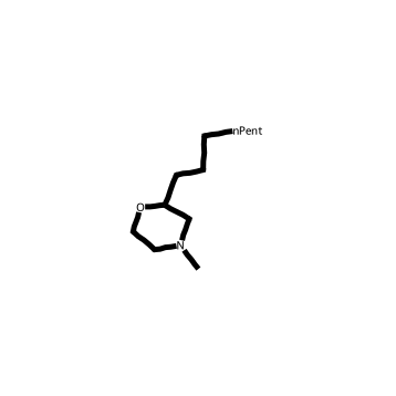 CCCCCCCCC1CN(C)CCO1